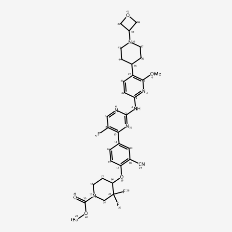 COc1nc(Nc2ncc(F)c(-c3ccc(OC4CCN(C(=O)OC(C)(C)C)CC4(F)F)c(C#N)c3)n2)ccc1C1CCN(C2COC2)CC1